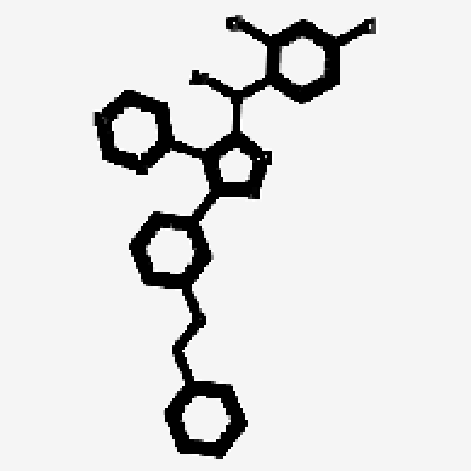 CC(=O)N(c1ccc(Cl)cc1Cl)c1onc(-c2cccc(OCc3ccccc3)c2)c1-c1ccncn1